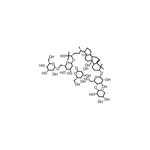 C[C@H](CC[C@@H](O[C@@H]1O[C@H](CO[C@H]2O[C@H](CO)[C@@H](O)[C@H](O)[C@H]2O)[C@@H](O)[C@H](O)[C@H]1O[C@@H]1O[C@H](CO)[C@@H](O)[C@H](O)[C@H]1O)C(C)(C)O)C1CC[C@@]2(C)C3CC=C4C(CC[C@H](O[C@@H]5O[C@H](CO)[C@@H](O[C@H]6O[C@H](C)[C@@H](O)[C@H](O)[C@H]6O)[C@H](O)[C@H]5O)C4(C)C)[C@]3(C)[C@H](O)C[C@]12C